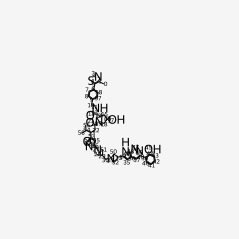 Cc1ncsc1-c1ccc(CNC(=O)[C@@H]2C[C@@H](O)CN2C(=O)CC(c2cc(N3CC(CN4CC(c5cc6cc(-c7ccccc7O)nnc6[nH]5)C4)C3)no2)C(C)C)cc1